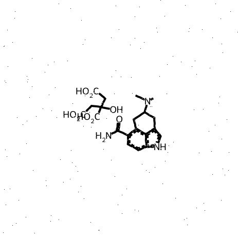 CN(C)C1Cc2c[nH]c3ccc(C(N)=O)c(c23)C1.O=C(O)CC(O)(CC(=O)O)C(=O)O